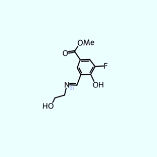 COC(=O)c1cc(F)c(O)c(/C=N/CCO)c1